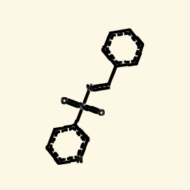 O=S(=O)(N=Cc1ccccc1)c1cccnc1